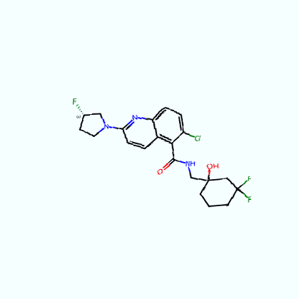 O=C(NCC1(O)CCCC(F)(F)C1)c1c(Cl)ccc2nc(N3CC[C@H](F)C3)ccc12